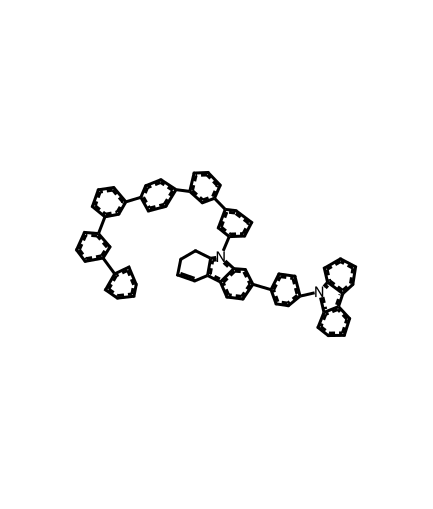 C1=Cc2c(n(-c3cccc(-c4cccc(-c5ccc(-c6cccc(-c7cccc(-c8ccccc8)c7)c6)cc5)c4)c3)c3cc(-c4ccc(-n5c6ccccc6c6ccccc65)cc4)ccc23)CC1